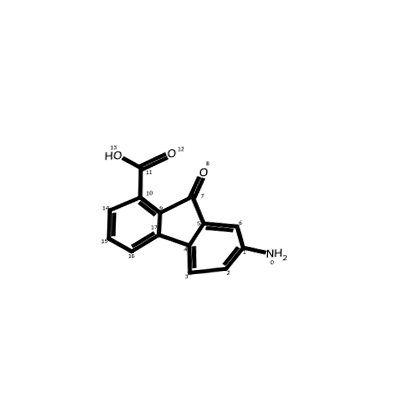 Nc1ccc2c(c1)C(=O)c1c(C(=O)O)cccc1-2